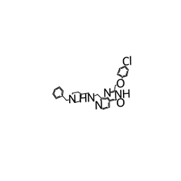 O=c1[nH]c(COc2ccc(Cl)cc2)nc2c(CNCC3CCN(Cc4ccccc4)CC3)nccc12